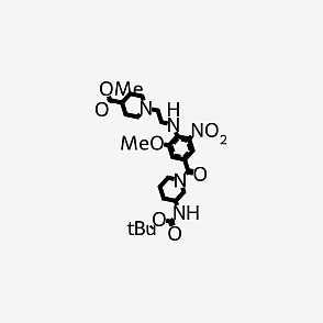 COC(=O)C1CCN(CCNc2c(OC)cc(C(=O)N3CCCC(NC(=O)OC(C)(C)C)C3)cc2[N+](=O)[O-])CC1